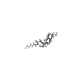 CCCCCCCC1CC=C(c2ccc3cc(CCC)ccc3c2)CC1